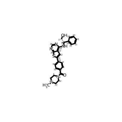 CN1CCN(C(=O)c2ccc(-c3cc4c(N[C@H](CO)c5ccccc5)ncnc4s3)cc2)CC1